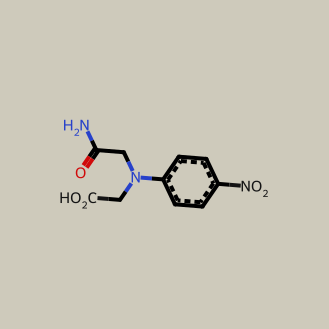 NC(=O)CN(CC(=O)O)c1ccc([N+](=O)[O-])cc1